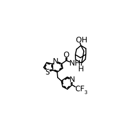 O=C(NC1C2CC3C[C@H]1CC(O)(C3)C2)c1cc(Cc2ccc(C(F)(F)F)nc2)c2sccc2n1